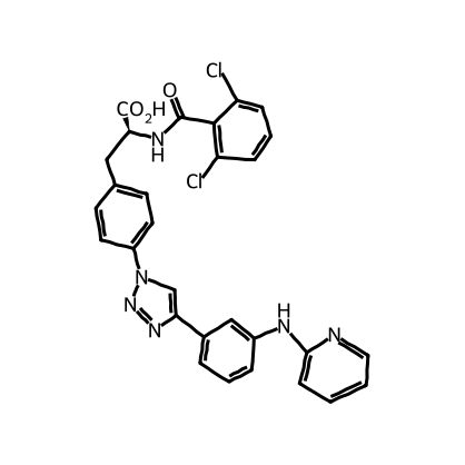 O=C(N[C@@H](Cc1ccc(-n2cc(-c3cccc(Nc4ccccn4)c3)nn2)cc1)C(=O)O)c1c(Cl)cccc1Cl